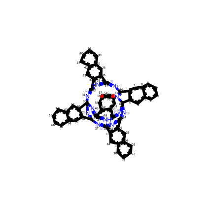 c1ccc2cc3c(cc2c1)C1=NC32/N=c3\[nH]/c(c4cc5ccccc5cc34)=N\C3=NC(/N=c4\[nH]/c(c5cc6ccccc6cc45)=N\1)(/N=c1\[nH]/c(c4cc5ccccc5cc14)=N\2)c1cc2ccccc2cc13